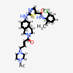 CC(=O)N1CCN(C/C=C/C(=O)N2CCc3cc(Nc4ncc(C(=O)Nc5c(C)cccc5Cl)s4)ccc3C2)CC1